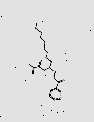 C=C(C)C(=O)OC(CCCCCCCCC)OOC(=O)c1ccccc1